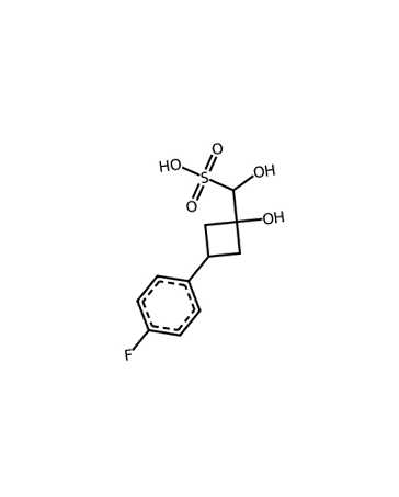 O=S(=O)(O)C(O)C1(O)CC(c2ccc(F)cc2)C1